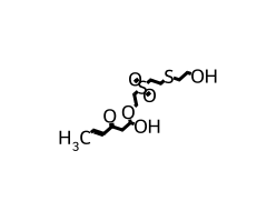 CC=CC(=O)CC(O)OCCS(=O)(=O)CCSCCO